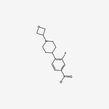 O=[N+]([O-])c1ccc(C2CCN(C3COC3)CC2)c(F)c1